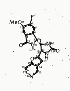 COc1cc2c(cc1F)CN(C[C@@]1(c3cc4cnccc4o3)NC(=O)NC1=O)C2=O